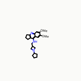 COc1cc2nc3c(c(NCC4CN(C5CCCC5)C4)c2cc1OC)CCC3